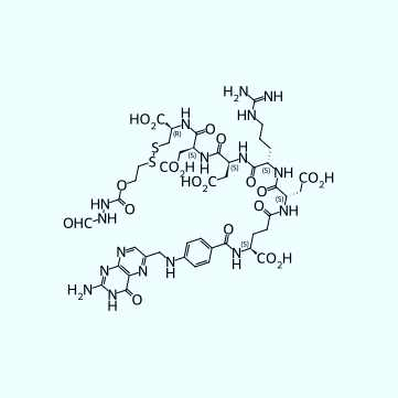 N=C(N)NCCC[C@H](NC(=O)[C@H](CC(=O)O)NC(=O)CC[C@H](NC(=O)c1ccc(NCc2cnc3nc(N)[nH]c(=O)c3n2)cc1)C(=O)O)C(=O)N[C@@H](CC(=O)O)C(=O)N[C@@H](CC(=O)O)C(=O)N[C@@H](CSSCCOC(=O)NNC=O)C(=O)O